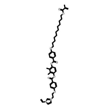 C=Cn1cc[n+](CCOc2ccc(C(=O)Oc3ccc(OC(=O)c4ccc(OCCCCCCCCCCCCOC(=O)C(=C)C)cc4)c(C)c3C)cc2)c1